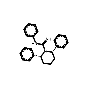 N=C(Nc1ccccc1)N1[C@@H](c2ccccc2)CCC[C@H]1c1ccccc1